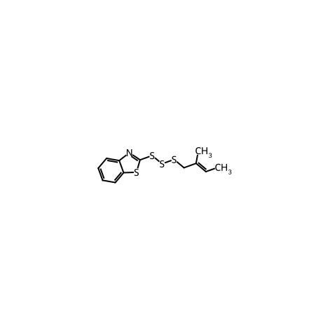 C/C=C(\C)CSSSc1nc2ccccc2s1